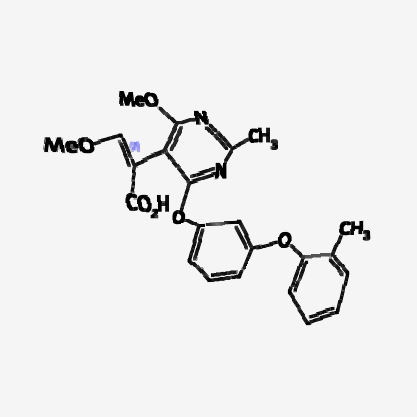 CO/C=C(\C(=O)O)c1c(OC)nc(C)nc1Oc1cccc(Oc2ccccc2C)c1